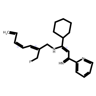 C=C/C=C\C=C(/CF)CN/C(=C\C(=N)c1ccccn1)C1CCCCC1